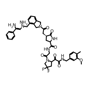 COc1cc(CNC(=O)C(=O)C2CC(F)(F)CN2C(=O)CNC(=O)C2C[C@@H](CC(=O)N3Cc4cccc(CN(N)/C=C(\N)c5ccccc5)c4C3)C(=O)N2)ccc1C